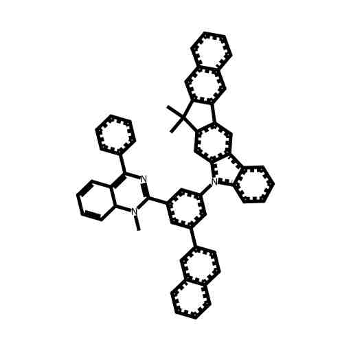 CN1C(c2cc(-c3ccc4ccccc4c3)cc(-n3c4ccccc4c4cc5c(cc43)C(C)(C)c3cc4ccccc4cc3-5)c2)=NC(c2ccccc2)=C2C=CC=CC21